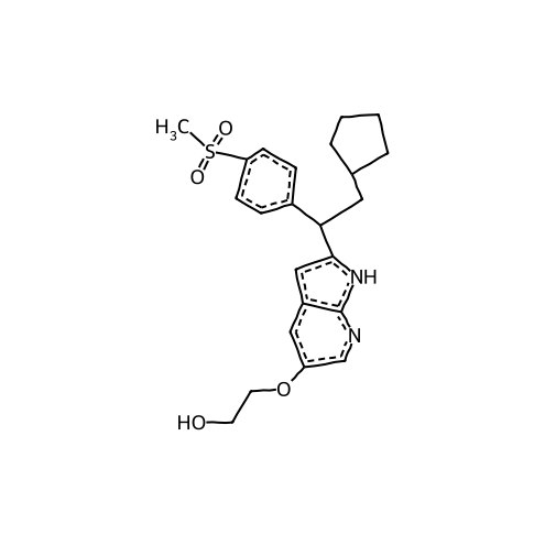 CS(=O)(=O)c1ccc(C(CC2CCCC2)c2cc3cc(OCCO)cnc3[nH]2)cc1